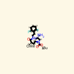 CO[C@H]([C@@H](C)C(=O)NCCc1c(F)cccc1F)[C@@H]1C[C@H](N)CN1C(=O)OC(C)(C)C